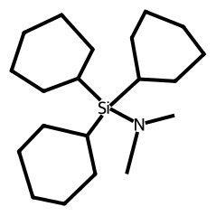 CN(C)[Si](C1CCCCC1)(C1CCCCC1)C1CCCCC1